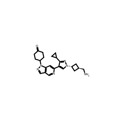 NC[C@H]1C[C@H](n2cc(-c3cc4c(cn3)cnn4C3CCC(=O)CC3)c(C3CC3)n2)C1